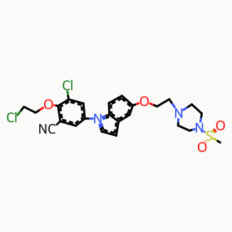 CS(=O)(=O)N1CCN(CCOc2ccc3c(ccn3-c3cc(Cl)c(OCCCl)c(C#N)c3)c2)CC1